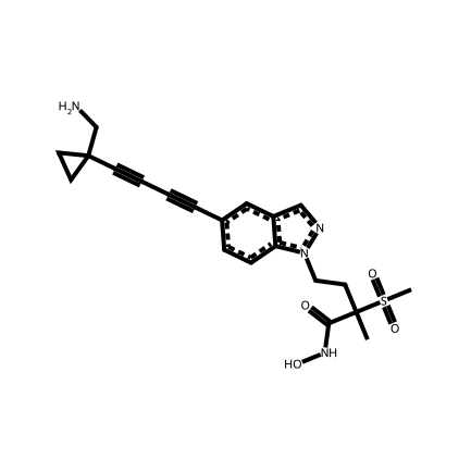 CC(CCn1ncc2cc(C#CC#CC3(CN)CC3)ccc21)(C(=O)NO)S(C)(=O)=O